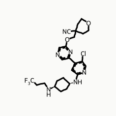 N#CC1(COc2cncc(-c3cc(N[C@H]4CC[C@H](NCCC(F)(F)F)CC4)ncc3Cl)n2)CCOCC1